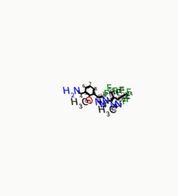 COc1c(CN)cccc1-c1cn(-c2c(C(F)(F)F)c(C(F)(F)C(F)(F)F)nn2C)nn1